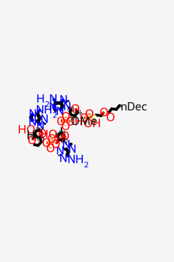 CCCCCCCCCCCCCC(=O)OCCSP(=O)(O)OC[C@H]1O[C@@H](n2cnc3c(N)ncnc32)C(OP(=O)(O)OC[C@H]2O[C@@H](n3cnc4c(N)ncnc43)C(OP(=O)(O)OC[C@]34CCCO[C@@H]3C(O)[C@H](n3cnc5c(N)ncnc53)O4)[C@H]2O)[C@H]1OC